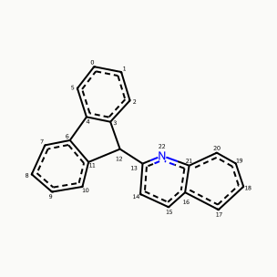 c1ccc2c(c1)-c1ccccc1C2c1ccc2ccccc2n1